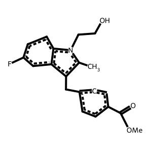 COC(=O)c1ccc(Cc2c(C)n(CCO)c3ccc(F)cc23)cc1